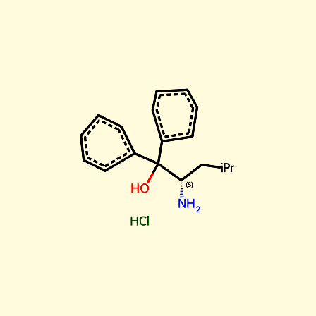 CC(C)C[C@H](N)C(O)(c1ccccc1)c1ccccc1.Cl